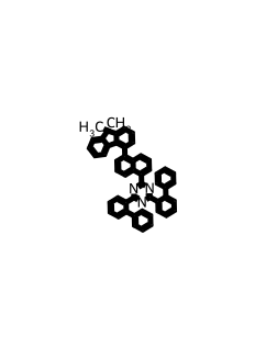 CC1(C)c2ccccc2-c2c(-c3cccc4c(-c5nc(-c6ccccc6-c6ccccc6)nc(-c6ccccc6-c6ccccc6)n5)cccc34)cccc21